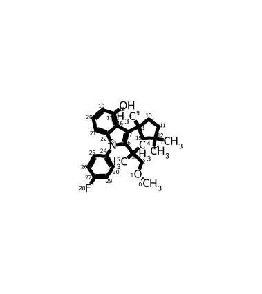 COCC(C)(C)c1c(C2(C)CCC(C)(C)C2)c2c(O)cccc2n1-c1ccc(F)cc1